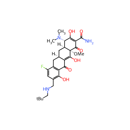 CO[C@@]12C(=O)C(C(N)=O)=C(O)[C@@H](N(C)C)[C@@H]1C[C@@H]1Cc3c(F)cc(CNCC(C)(C)C)c(O)c3C(=O)C1=C2O